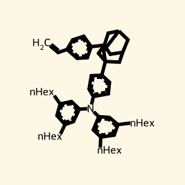 C=Cc1ccc(C23CC4CC(C2)CC(c2ccc(N(c5cc(CCCCCC)cc(CCCCCC)c5)c5cc(CCCCCC)cc(CCCCCC)c5)cc2)(C4)C3)cc1